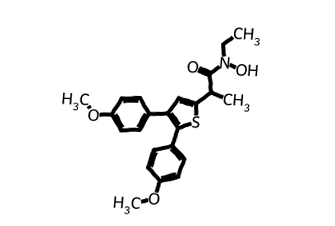 CCN(O)C(=O)C(C)c1cc(-c2ccc(OC)cc2)c(-c2ccc(OC)cc2)s1